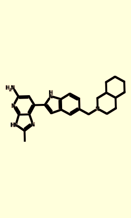 Cc1nc2c(-c3cc4cc(CN5CCC6CCCCC6C5)ccc4[nH]3)cc(N)nc2[nH]1